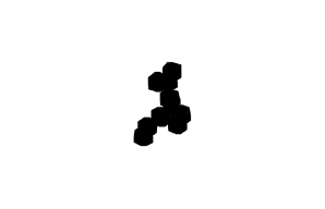 c1ccc2cc(-c3ccc(N(c4ccc(-c5cc6ccccc6c6ccccc56)cc4)c4cccc5ccccc45)cc3)ccc2c1